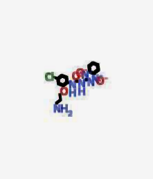 NCCCOc1cc(Cl)ccc1NC(=O)Nc1n[n+]([O-])c2ccccc2[n+]1[O-]